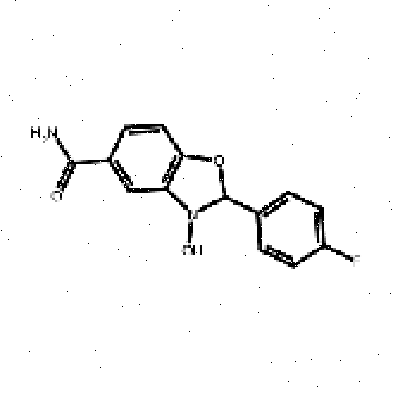 NC(=O)c1ccc2c(c1)N(O)C(c1ccc(F)cc1)O2